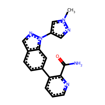 Cn1cc(-n2ncc3ccc(-c4cccnc4C(N)=O)cc32)cn1